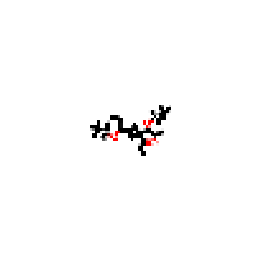 CCC(=O)C1(C(CC)O[Si](C)(C)C(C)(C)C)CC(C(CC)O[Si](C)(C)C(C)(C)C)C1